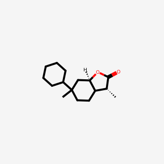 C[C@H]1C(=O)O[C@@H]2CC(C)(C3CCCCC3)CCC21